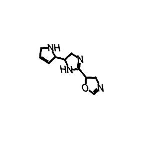 C1=CC(C2CN=C(C3CN=CO3)N2)NC1